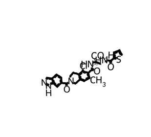 Cc1cc2c(c(Cl)c1C(=O)N[C@@H](CNC(=O)c1cccs1)C(=O)O)CCN(C(=O)c1ccc3cn[nH]c3c1)C2